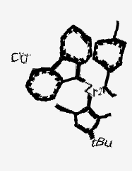 CC1=[C](/[Zr+2](=[C](\C)c2ccc(C)cc2)[CH]2c3ccccc3-c3ccccc32)C(C)C=C1C(C)(C)C.[Cl-].[Cl-]